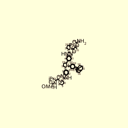 COC(=O)N[C@H](C(=O)N1CCC[C@H]1c1nc2cc([C@H]3CCC(c4ccc5nc([C@@H]6CCCN6C(=O)[C@@](C)(OC(N)=O)C(C)C)[nH]c5c4)N3c3ccc(C45CC6CC(CC(C6)C4)C5)cc3)ccc2[nH]1)C(C)C